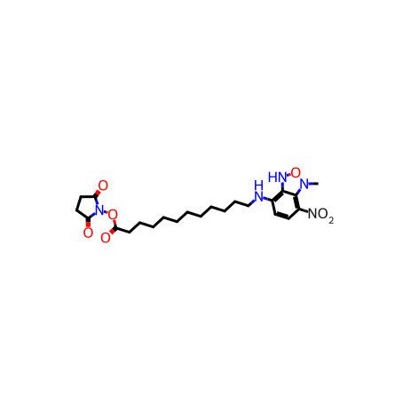 CN1ONc2c(NCCCCCCCCCCCC(=O)ON3C(=O)CCC3=O)ccc([N+](=O)[O-])c21